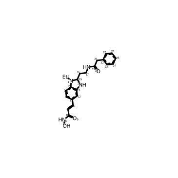 CCN1c2ccc(/C=C/C(=O)NO)cc2NC1CCNC(=O)Cc1ccccc1